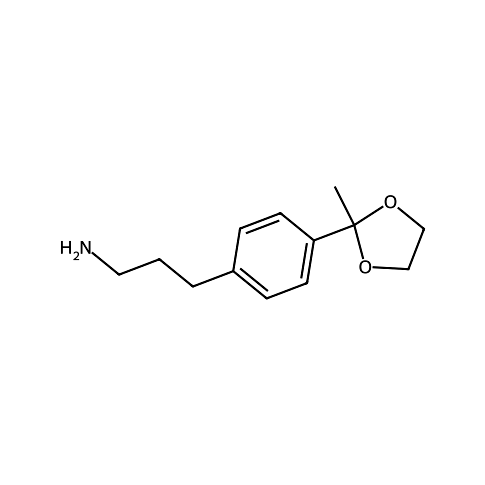 CC1(c2ccc(CCCN)cc2)OCCO1